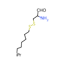 CC(C)CCCCCCSSCC(N)C=O